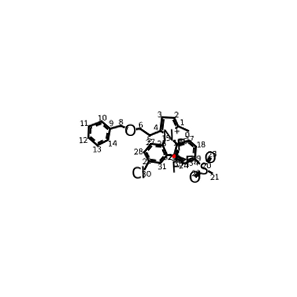 CC1=CC=C(CCOCc2ccccc2)[N+]1(c1ccc(S(C)(=O)=O)cc1)c1ccc(Cl)cc1C(F)(F)F